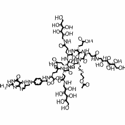 CC(=O)OCCSSC[C@@H](NC(=O)[C@H](CCC(=O)NC[C@H](O)[C@@H](O)[C@H](O)[C@H](O)CO)NC(=O)[C@@H](CCC(=O)O)NC(=O)[C@H](CCC(=O)NC[C@H](O)[C@@H](O)[C@H](O)[C@H](O)CO)NC(=O)[C@@H](CCC(=O)O)NC(=O)[C@H](CCC(=O)NC[C@H](O)[C@@H](O)[C@H](O)[C@H](O)CO)NC(=O)CC[C@H](NC(=O)c1ccc(NCc2cnc3nc(N)[nH]c(=O)c3n2)cc1)C(=O)O)C(=O)O